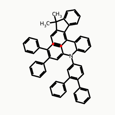 CC1(C)c2ccccc2-c2c(-c3ccccc3N(c3ccc(-c4ccccc4)c(-c4ccccc4)c3)c3ccc(-c4ccccc4)c(-c4ccccc4)c3)cccc21